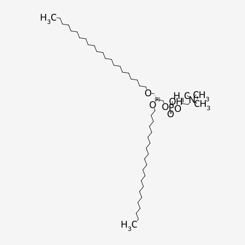 CCCCCCCCCCCCCCCCCCCCCCOC[C@H](COP(=O)(O)OCC[N+](C)(C)C)OCCCCCCCCCCCCCCCCCCCCCC